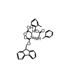 Cc1ccccc1C[C@@H](C(=O)O)N(N[C@@H](Cc1ccccc1)C(=O)O)C(=O)OCC1c2ccccc2-c2ccccc21